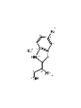 Cl.NC(CO)C1Cc2cc(Br)ccc2N1